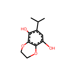 CC(C)c1cc(O)c2c(c1O)OCCO2